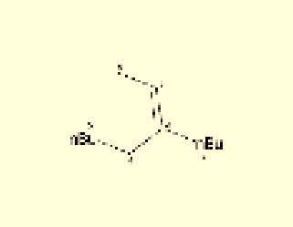 CC=C(CCCC)CCCCC